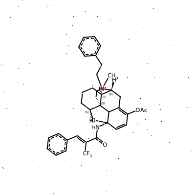 CC(=O)OC1=C2C[C@@H]3[C@@H]4CCC[C@@H]5OC(NC(=O)C(=Cc6ccccc6)C(F)(F)F)(C=C1)C2[C@@]54CC[N+]3(C)CCc1ccccc1